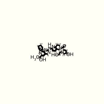 C[C@@H](O)c1cc2cnc(Nc3ccc4c(n3)CCN(C(=O)[C@@H]3C[C@H](O)CN3CCO)C4)nc2c(N2C3CCC2CC3)n1